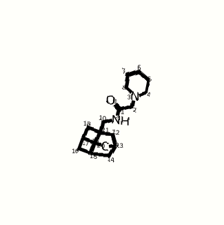 O=C(CN1CCCCC1)NCC12CC3CC4CC(C1)C42C3